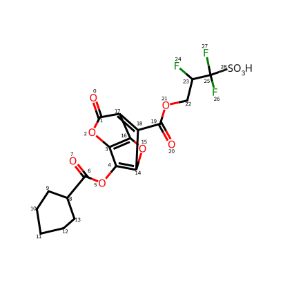 O=C1Oc2c(OC(=O)C3CCCCC3)c3oc2c1c3C(=O)OCC(F)C(F)(F)S(=O)(=O)O